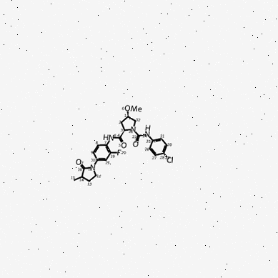 CO[C@@H]1C[C@H](C(=O)Nc2ccc(N3CCC(C)C3=O)cc2F)N(C(=O)Nc2ccc(Cl)cc2)C1